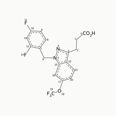 O=C(O)CCc1nn(Cc2ccc(F)cc2F)c2cc(OC(F)(F)F)ccc12